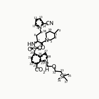 CC1CCN(C(=O)C(CCn2cccc2C#N)NS(=O)(=O)c2ccc(C(=O)O)c3c2ccn3COCC[Si](C)(C)C)CC1